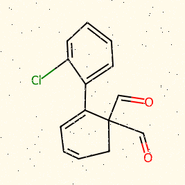 O=CC1(C=O)CC=CC=C1c1ccccc1Cl